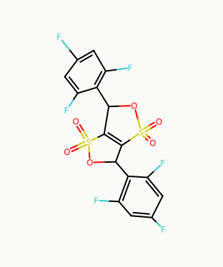 O=S1(=O)OC(c2c(F)cc(F)cc2F)C2=C1C(c1c(F)cc(F)cc1F)OS2(=O)=O